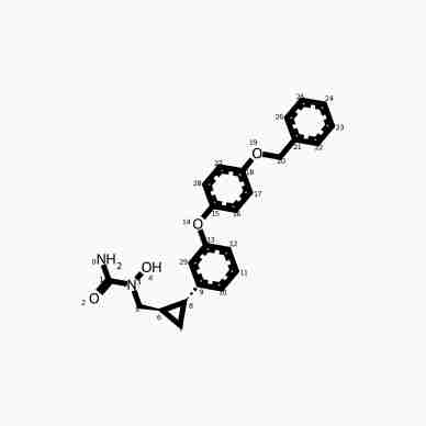 NC(=O)N(O)C[C@@H]1C[C@H]1c1cccc(Oc2ccc(OCc3ccccc3)cc2)c1